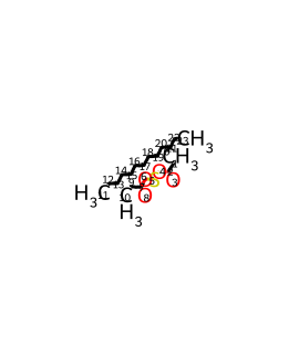 CCC(=O)OSOC(=O)CC.CCCCCCCCCCCCC